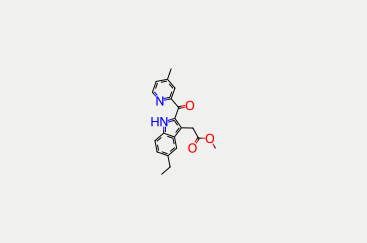 CCc1ccc2[nH]c(C(=O)c3cc(C)ccn3)c(CC(=O)OC)c2c1